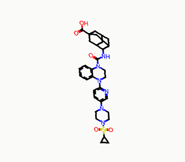 O=C(NC1C2CC3CC1CC(C(=O)O)(C3)C2)N1CCN(c2ccc(N3CCN(S(=O)(=O)C4CC4)CC3)cn2)c2ccccc21